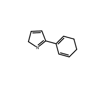 C1=CC(C2=NCC=C2)=CCC1